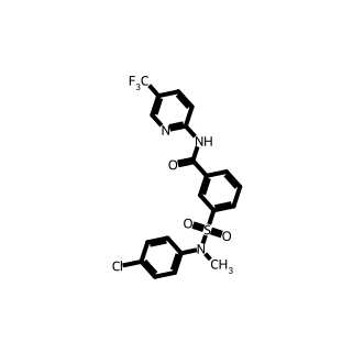 CN(c1ccc(Cl)cc1)S(=O)(=O)c1cccc(C(=O)Nc2ccc(C(F)(F)F)cn2)c1